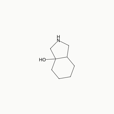 OC12CCCCC1CNC2